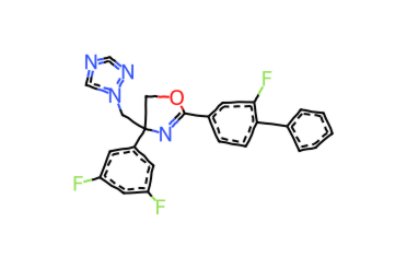 Fc1cc(F)cc(C2(Cn3cncn3)COC(c3ccc(-c4ccccc4)c(F)c3)=N2)c1